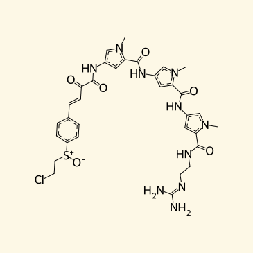 Cn1cc(NC(=O)c2cc(NC(=O)c3cc(NC(=O)C(=O)/C=C/c4ccc([S+]([O-])CCCl)cc4)cn3C)cn2C)cc1C(=O)NCCN=C(N)N